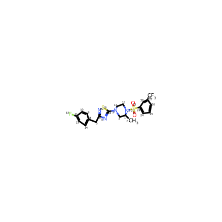 CC1CN(c2nc(Cc3ccc(F)cc3)ns2)CCN1S(=O)(=O)c1cccc(C(F)(F)F)c1